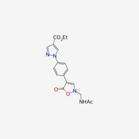 CCOC(=O)c1cnn(-c2ccc(-c3cn(CNC(C)=O)oc3=O)cc2)c1